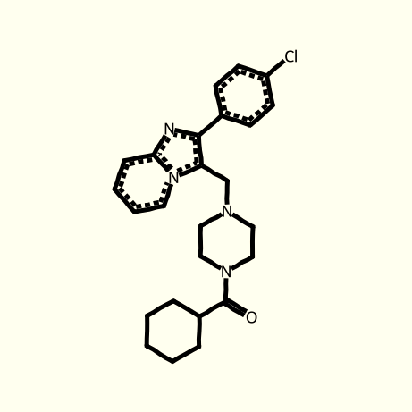 O=C(C1CCCCC1)N1CCN(Cc2c(-c3ccc(Cl)cc3)nc3ccccn23)CC1